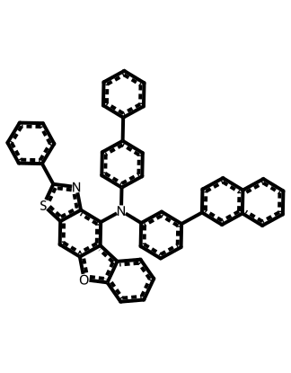 c1ccc(-c2ccc(N(c3cccc(-c4ccc5ccccc5c4)c3)c3c4nc(-c5ccccc5)sc4cc4oc5ccccc5c34)cc2)cc1